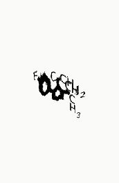 C=C(C)c1cccc(-c2ccc(F)cc2)c1C(C)C